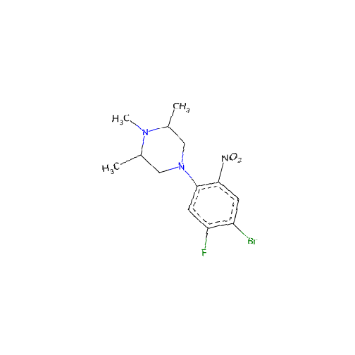 CC1CN(c2cc(F)c(Br)cc2[N+](=O)[O-])CC(C)N1C